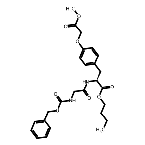 CCCCOC(=O)[C@H](Cc1ccc(OCC(=O)OC)cc1)NC(=O)CNC(=O)OCc1ccccc1